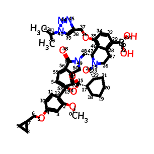 COc1cc(OCC2CC2)ccc1COC(=O)[C@H]1CCCC[C@H]1C(=O)N1CCc2c(B(O)O)ccc(OCc3cn(C(C)C)nn3)c2[C@H]1CN1Cc2ccccc2C1=O